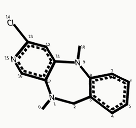 CN1Cc2ccccc2N(C)c2cc(Cl)ncc21